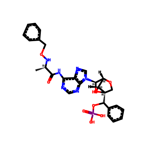 C[C@H](NOCc1ccccc1)C(=O)Nc1ncnc2c1ncn2[C@@H]1O[C@]2(C(OP(=O)(O)O)c3ccccc3)CO[C@@H]1[C@H]2O